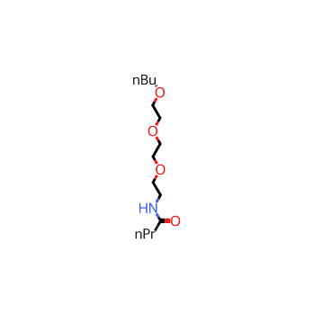 CCCCOCCOCCOCCNC(=O)CCC